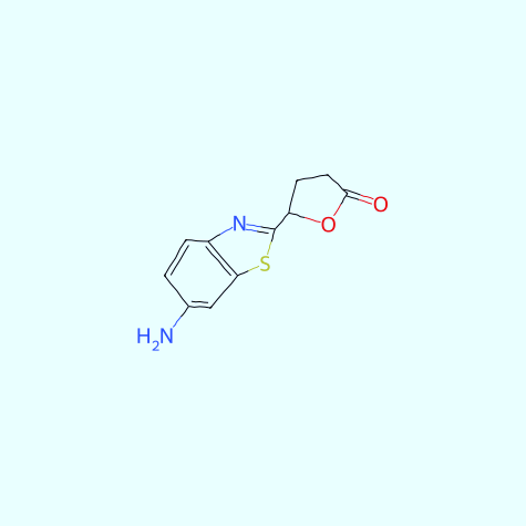 Nc1ccc2nc(C3CCC(=O)O3)sc2c1